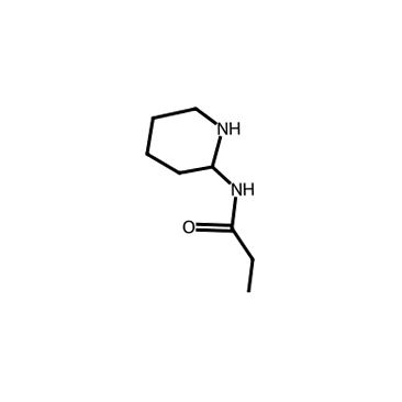 CCC(=O)NC1CCCCN1